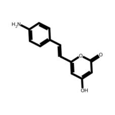 Nc1ccc(C=Cc2cc(O)cc(=O)o2)cc1